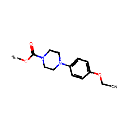 CC(C)(C)OC(=O)N1CCN(c2ccc(OCC#N)cc2)CC1